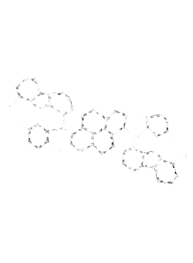 Cc1ccc(C)c(N(c2ccc3ccc4c(N(c5cc(C)ccc5C)c5cccc6c5oc5c(C(C)(C)C)cccc56)ccc5ccc2c3c54)c2cccc3c2oc2c(C(C)(C)C)cccc23)c1